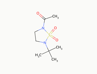 CC(=O)N1CCN(C(C)(C)C)S1(=O)=O